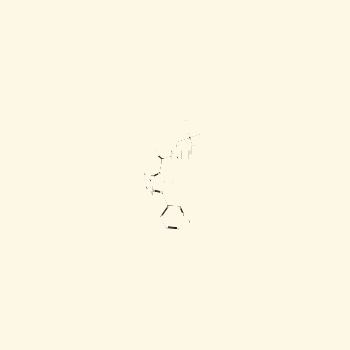 O=C(NCC(F)(F)F)c1nnc(-c2cccnc2)o1